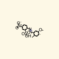 COc1[c]cc(C)c(/N=N/c2ccc([N+](=O)[O-])cc2S(=O)(=O)O)c1